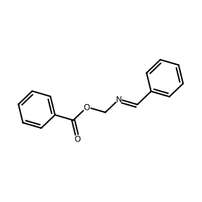 O=C(OCN=Cc1ccccc1)c1ccccc1